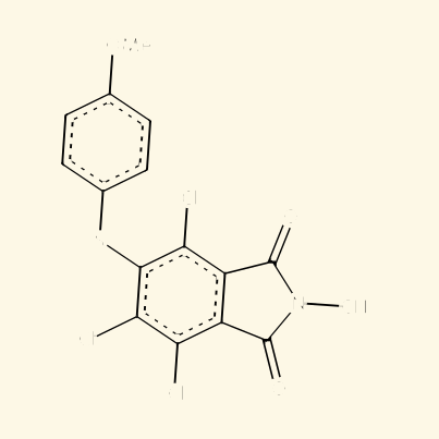 COc1ccc(Sc2c(Cl)c(Cl)c3c(c2Cl)C(=O)N(C)C3=O)cc1